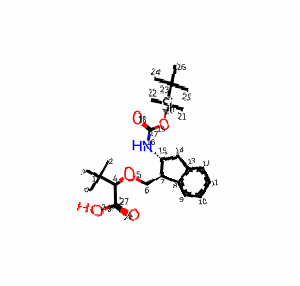 CC(C)(C)C(OC[C@@H]1c2ccccc2C[C@H]1NC(=O)O[Si](C)(C)C(C)(C)C)C(=O)O